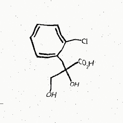 O=C(O)C(O)(CO)c1ccccc1Cl